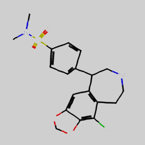 CN(C)S(=O)(=O)c1ccc(C2CNCCc3c2cc2c(c3Cl)OCO2)cc1